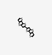 c1cc2sc3cc(-c4cc5sc6ccsc6c5s4)sc3c2s1